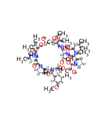 C=C1OC(=O)[C@@H]2Cc3ccc(OC)cc3CN2C(=O)[C@@H]2CCCN2C(=O)[C@H](CC(C)C)NC(=O)[C@H](C(C)C)OC(=O)C[C@H](O)/C(=C(/C)CC)NC(=O)/C1=N\C(=O)[C@@H](CC(C)C)N(C)C(=O)[C@@H]1CCCN1C(=O)C(C)=O